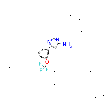 Nc1cc(-c2cccc(OC(F)(F)F)c2)ncn1